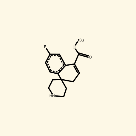 CC(C)(C)OC(=O)C1=CCC2(CCNCC2)c2ccc(F)cc21